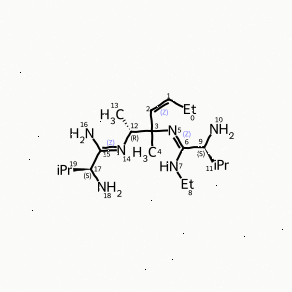 CC/C=C\C(C)(/N=C(\NCC)[C@@H](N)C(C)C)[C@@H](C)/N=C(\N)[C@@H](N)C(C)C